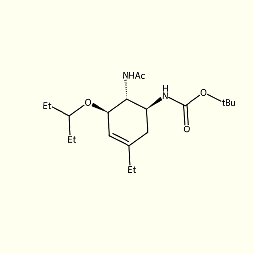 CCC1=C[C@@H](OC(CC)CC)[C@H](NC(C)=O)[C@@H](NC(=O)OC(C)(C)C)C1